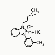 CNCCCN1c2ccccc2N(c2cccc(C)n2)S1(O)O.Cl